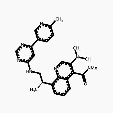 CNC(=O)c1c(N(C)C)cnc2c([C@H](C)CNc3cc(-c4ccc(C)nc4)ncn3)cccc12